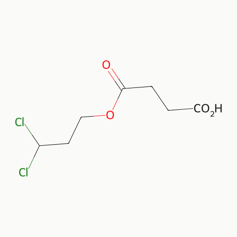 O=C(O)CCC(=O)OCCC(Cl)Cl